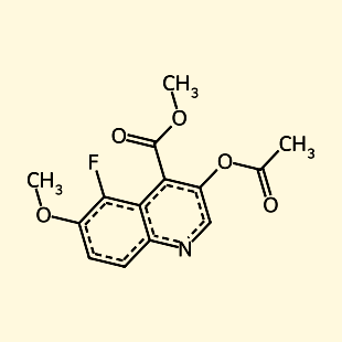 COC(=O)c1c(OC(C)=O)cnc2ccc(OC)c(F)c12